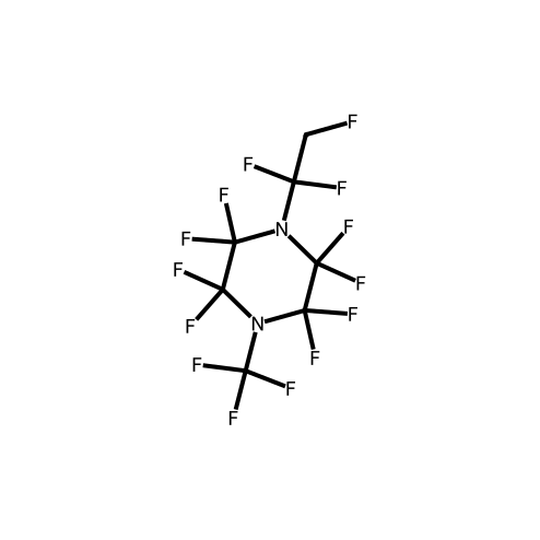 FCC(F)(F)N1C(F)(F)C(F)(F)N(C(F)(F)F)C(F)(F)C1(F)F